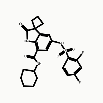 O=C(NC1CCCCC1)c1cc(NS(=O)(=O)c2ccc(F)cc2F)cc2c1NC(=O)C21CCC1